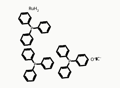 [C-]#[O+].[RuH2].c1ccc(P(c2ccccc2)c2ccccc2)cc1.c1ccc(P(c2ccccc2)c2ccccc2)cc1.c1ccc(P(c2ccccc2)c2ccccc2)cc1